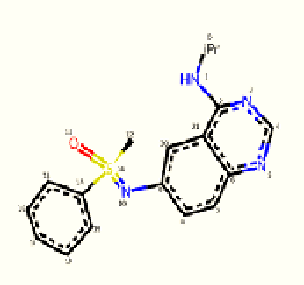 CC(C)Nc1ncnc2ccc(N=[S@@](C)(=O)c3ccccc3)cc12